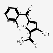 Cc1cc(C(=O)c2ccccc2F)sc1C(N)=O